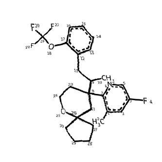 Cc1cc(F)cnc1C1(C(C)Cc2ccccc2OC(F)(F)F)CCOC2(CCCC2)C1